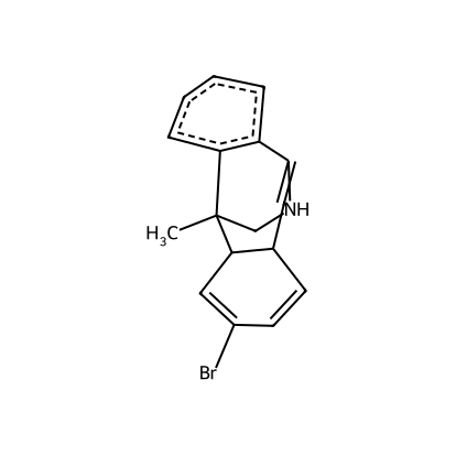 CC12CNC(=CC3C=CC(Br)=CC31)c1ccccc12